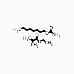 C=C(C)C(=O)OCC.CCCCCCCCOC(N)=O